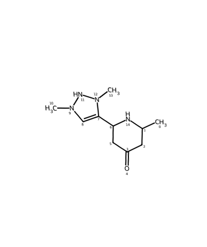 CC1CC(=O)CC(C2=CN(C)NN2C)N1